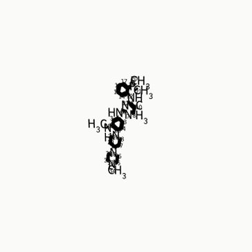 CNc1cc(Nc2ncc(C)c(Nc3ccccc3P(C)C)n2)ccc1N1CCC(N2CCN(C)CC2)CC1